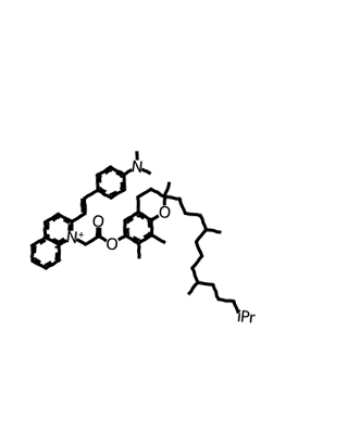 Cc1c(OC(=O)C[n+]2c(/C=C/c3ccc(N(C)C)cc3)ccc3ccccc32)cc2c(c1C)OC(C)(CCCC(C)CCCC(C)CCCC(C)C)CC2